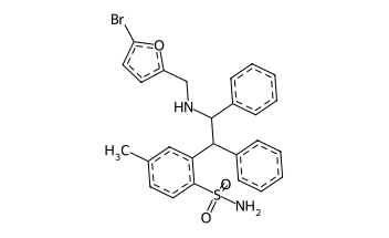 Cc1ccc(S(N)(=O)=O)c(C(c2ccccc2)C(NCc2ccc(Br)o2)c2ccccc2)c1